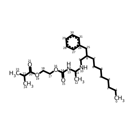 CCCCCCCCC(CNC(C)NC(=O)OCCOC(=O)C(C)C)Cc1ccccc1